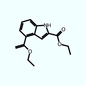 C=C(OCC)c1cccc2[nH]c(C(=O)OCC)cc12